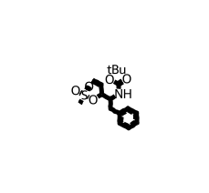 C=CC(OS(C)(=O)=O)C(Cc1ccccc1)NC(=O)OC(C)(C)C